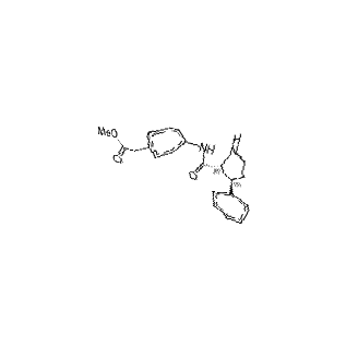 COC(=O)c1ccc(NC(=O)[C@@H]2NCC[C@H]2c2ccccc2)cc1